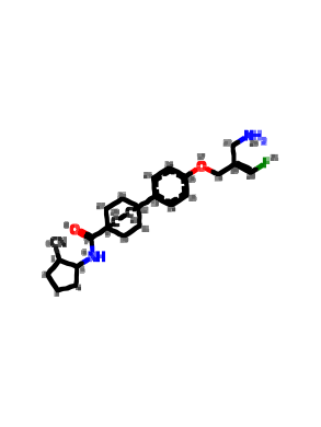 N#CC1CCCC1NC(=O)C12CCC(c3ccc(OCC(=CF)CN)cc3)(CC1)CC2